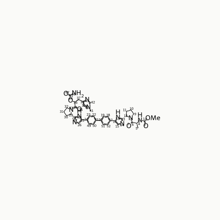 COC(=O)N[C@@H](C)C(=O)N1CCC[C@H]1c1ncc(-c2ccc(-c3ccc(-c4cnc([C@@H]5CCCN5C(=O)[C@H](Cc5cn(C)cn5)OC(N)=O)[nH]4)cc3)cc2)[nH]1